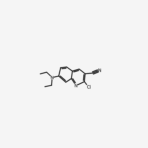 CCN(CC)c1ccc2cc(C#N)c(Cl)nc2c1